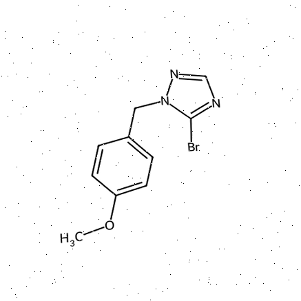 COc1ccc(Cn2ncnc2Br)cc1